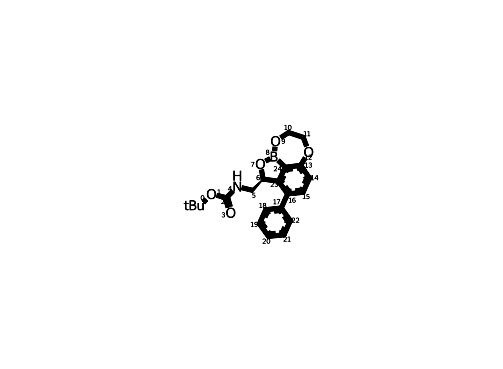 CC(C)(C)OC(=O)NC[C@H]1OB2OCCOc3ccc(-c4ccccc4)c1c32